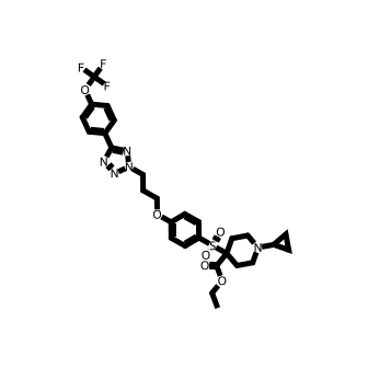 CCOC(=O)C1(S(=O)(=O)c2ccc(OCCCn3nnc(-c4ccc(OC(F)(F)F)cc4)n3)cc2)CCN(C2CC2)CC1